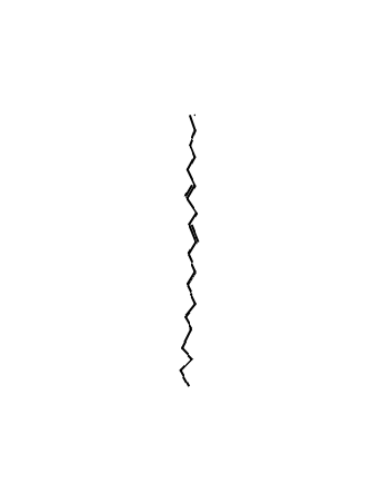 [CH2]CCCCC=CCC=CCCCCCCCCCC